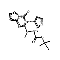 CC(NC(=O)OC(C)(C)C)c1nc2cccn2c(=O)n1-c1ccon1